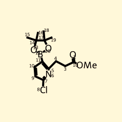 COC(=O)CCc1nc(Cl)ccc1B1OC(C)(C)C(C)(C)O1